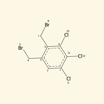 Clc1cc(CBr)c(CBr)c(Cl)c1Cl